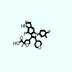 Cc1cc(-n2c(C3CCOCC3)c(C3CO[C@](C)(C(=O)O)C3)c3c(F)c4[nH]ncc4cc32)ccc1F